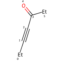 CCC#CC(=O)CC